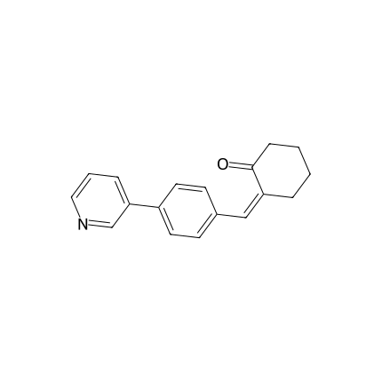 O=C1CCCCC1=Cc1ccc(-c2cccnc2)cc1